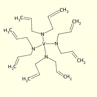 C=CC[N](CC=C)[V]([N](CC=C)CC=C)([N](CC=C)CC=C)[N](CC=C)CC=C